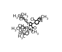 Cn1cc2c(Cl)c(-c3cn(COCC[Si](C)(C)C)c4nc(N5CC[C@@](C)(NC(=O)OC(C)(C)C)C5)n(C)c(=O)c34)ccc2n1